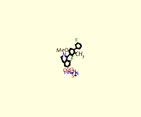 COc1cc(-c2cccc(F)c2)c(C)c(F)c1-c1nccc2cc(S(=O)(=O)Nc3nncs3)ccc12